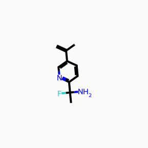 C=C(C)c1ccc(C(C)(N)F)nc1